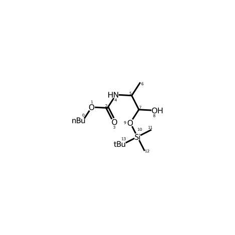 CCCCOC(=O)NC(C)C(O)O[Si](C)(C)C(C)(C)C